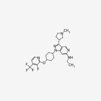 CCNc1cc2c(cn1)c(C1CCN(C)C1)nn2C1CCC(Oc2nccc(C(F)(F)F)c2F)CC1